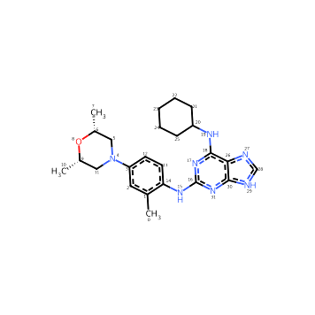 Cc1cc(N2C[C@@H](C)O[C@@H](C)C2)ccc1Nc1nc(NC2CCCCC2)c2nc[nH]c2n1